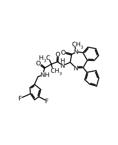 CN1C(=O)C(NC(=O)C(C)(C)C(=O)NCc2cc(F)cc(F)c2)N=C(c2ccccc2)c2ccccc21